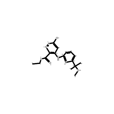 CCOC(=O)c1nnc(Cl)cc1Nc1cccc(C(C)(C)OC)n1